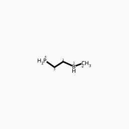 CBCCP